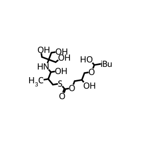 CCC(C)C(O)OCC(O)COC(=O)SCC(C)C(O)NC(CO)(CO)CO